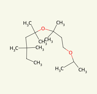 CCC(C)(C)CC(C)(C)OC(C)(C)CCOC(C)C